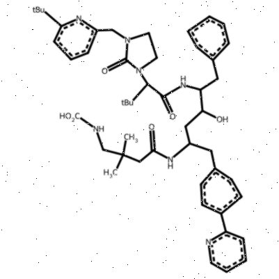 CC(C)(CNC(=O)O)CC(=O)NC(Cc1ccc(-c2ccccn2)cc1)CC(O)C(Cc1ccccc1)NC(=O)C(N1CCN(Cc2cccc(C(C)(C)C)n2)C1=O)C(C)(C)C